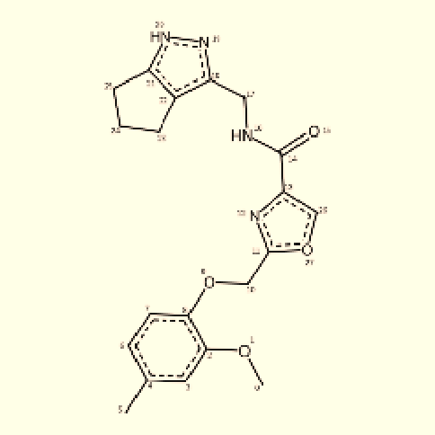 COc1cc(C)ccc1OCc1nc(C(=O)NCc2n[nH]c3c2CCC3)co1